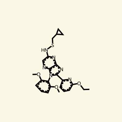 CCOc1cccc(-c2nc3nc(NSCC4CC4)cnc3n2-c2c(OC)cccc2OC)n1